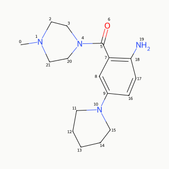 CN1CCN(C(=O)c2cc(N3CCCCC3)ccc2N)CC1